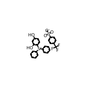 O=S(=O)([O-])c1ccc(C(F)(F)F)cc1.Oc1ccc([S+](c2ccccc2)c2ccccc2)c(O)c1